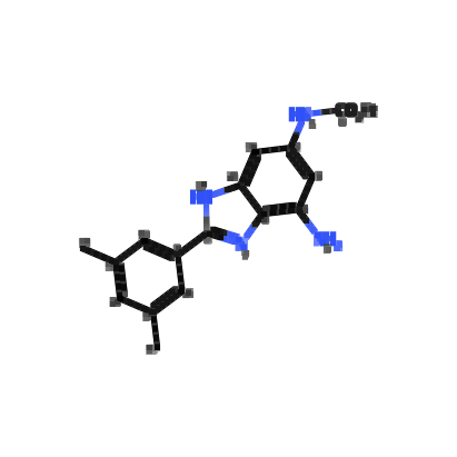 CCOC(=O)Nc1cc(N)c2nc(-c3cc(C)cc(C)c3)[nH]c2c1